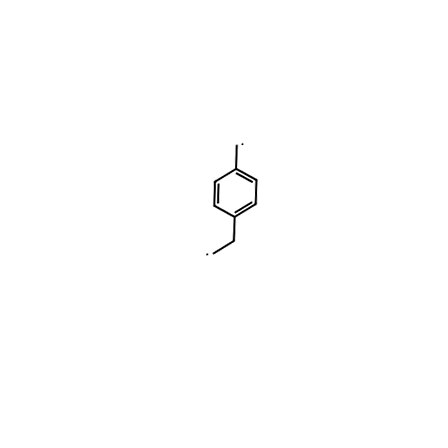 [CH2]Cc1ccc([CH2])cc1